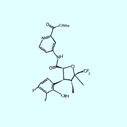 COC(=O)c1cc(NC(=O)[C@H]2O[C@@](C)(C(F)(F)F)[C@@H](C)[C@H]2c2ccc(F)c(F)c2O)ccn1